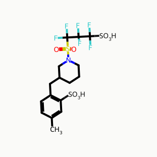 Cc1ccc(CC2CCCN(S(=O)(=O)C(F)(F)C(F)(F)C(F)(F)S(=O)(=O)O)C2)c(S(=O)(=O)O)c1